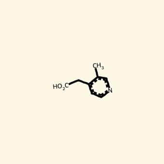 Cc1cnccc1CC(=O)O